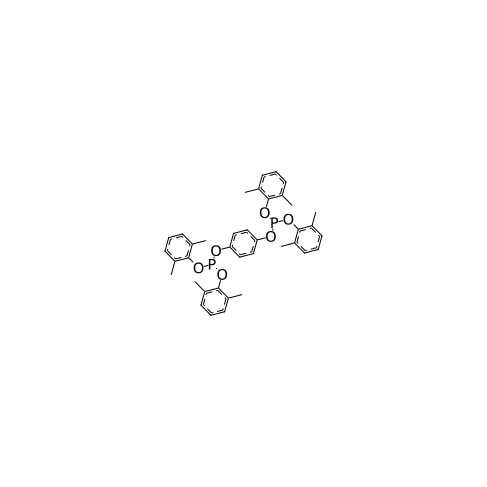 Cc1cccc(C)c1OP(Oc1ccc(OP(Oc2c(C)cccc2C)Oc2c(C)cccc2C)cc1)Oc1c(C)cccc1C